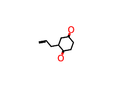 C=CCC1CC(=O)CCC1=O